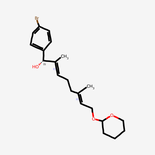 C/C(=C\COC1CCCCO1)CC/C=C(\C)[C@H](O)c1ccc(Br)cc1